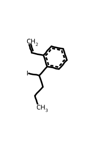 C=Cc1ccccc1C(I)CCC